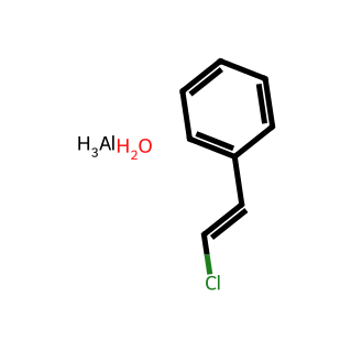 ClC=Cc1ccccc1.O.[AlH3]